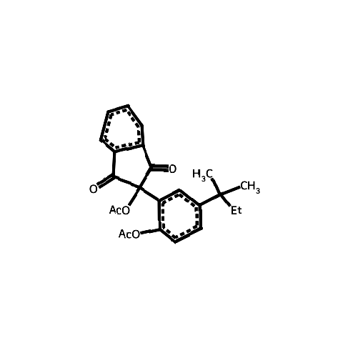 CCC(C)(C)c1ccc(OC(C)=O)c(C2(OC(C)=O)C(=O)c3ccccc3C2=O)c1